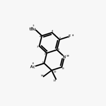 CC(=O)C1c2cc(C(C)(C)C)cc(F)c2N=CC1(C)C